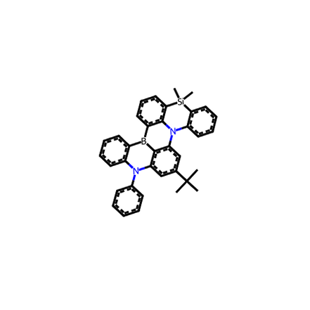 CC(C)(C)c1cc2c3c(c1)N1c4ccccc4[Si](C)(C)c4cccc(c41)B3c1ccccc1N2c1ccccc1